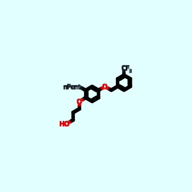 CCCCCc1cc(OCc2cccc(C(F)(F)F)c2)ccc1OCCCO